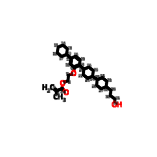 C=C(C)C(=O)OCCOc1cc(C2CCCCC2)ccc1C1CCC(C2CCC(CCCO)CC2)CC1